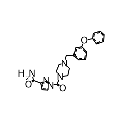 NC(=O)c1ccn(C(=O)N2CCN(Cc3cccc(Oc4ccccc4)c3)CC2)n1